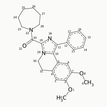 COc1cc2c(cc1OC)-c1c(-c3ccccc3)nc(C(=O)N3CCCCCC3)n1CC2